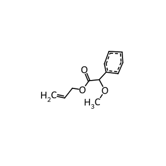 C=CCOC(=O)C(OC)c1ccccc1